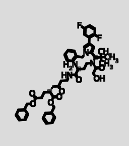 CC(C)(C)[C@H](c1cc(-c2cc(F)ccc2F)cn1Cc1ccccc1)N(CC[C@H](N)C(=O)NCCC(=O)C[C@@H](CCC(=O)OCc1ccccc1)C(=O)OCc1ccccc1)C(=O)CO